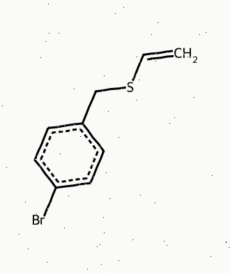 C=CSCc1ccc(Br)cc1